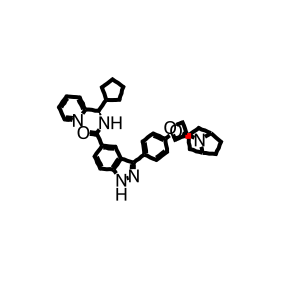 O=C(N[C@H](c1ccccn1)C1CCCC1)c1ccc2[nH]nc(-c3ccc(OC4CC5CCC(C4)N5C4COC4)cc3)c2c1